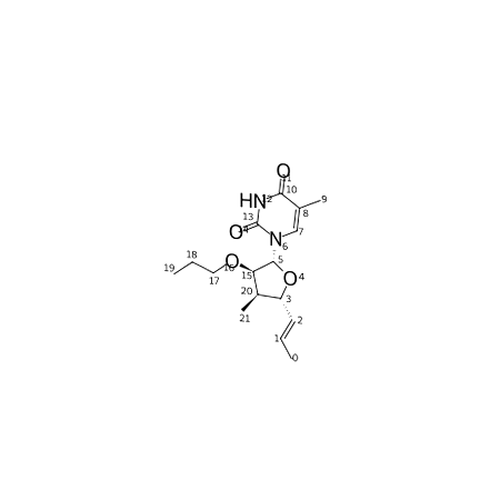 C/C=C/[C@H]1O[C@@H](n2cc(C)c(=O)[nH]c2=O)[C@H](OCCC)[C@@H]1C